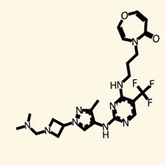 Cc1nn(C2CN(CN(C)C)C2)cc1Nc1ncc(C(F)(F)F)c(NCCCN2C=COC=CC2=O)n1